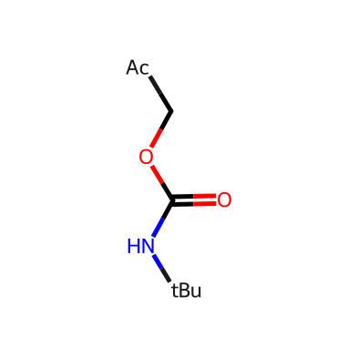 CC(=O)COC(=O)NC(C)(C)C